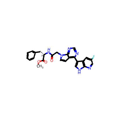 COC(=O)[C@H](Cc1ccccc1)NC(=O)Cn1ccc2c(-c3c[nH]c4ncc(F)cc34)ncnc21